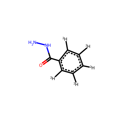 [2H]c1c([2H])c([2H])c(C(=O)NN)c([2H])c1[2H]